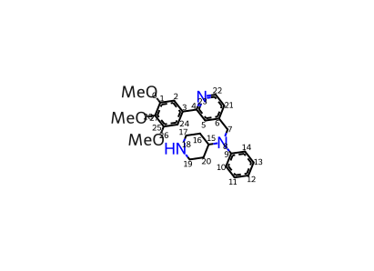 COc1cc(-c2cc(CN(c3ccccc3)C3CCNCC3)ccn2)cc(OC)c1OC